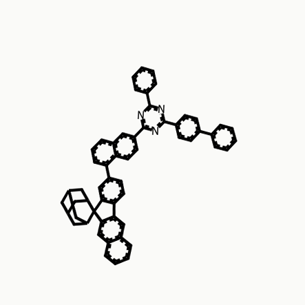 c1ccc(-c2ccc(-c3nc(-c4ccccc4)nc(-c4ccc5c(-c6ccc7c(c6)C6(c8cc9ccccc9cc8-7)C7CC8CC(C7)CC6C8)cccc5c4)n3)cc2)cc1